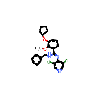 COc1c(OC2CCCC2)cccc1C(=Nc1c(Cl)cncc1Cl)NCc1ccccc1